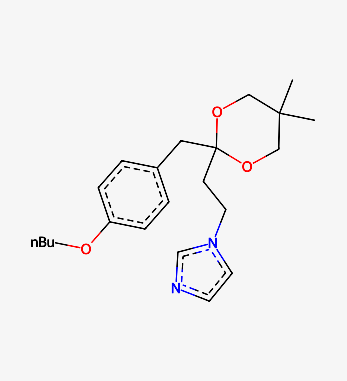 CCCCOc1ccc(CC2(CCn3ccnc3)OCC(C)(C)CO2)cc1